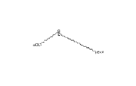 CCCCCCCCC=CCCCCCCCCCC(=O)OCCCCCCCCCCCCCCCCCCCCCCCCCCCCCCCCC